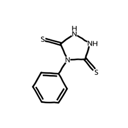 S=c1[nH][nH]c(=S)n1-c1ccccc1